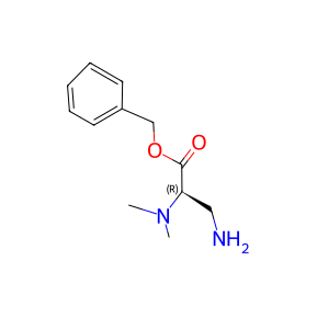 CN(C)[C@H](CN)C(=O)OCc1ccccc1